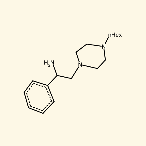 CCCCCCN1CCN(CC(N)c2ccccc2)CC1